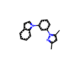 Cc1cc(C)n(-c2cccc(-n3ccc4c[c]ccc43)c2)n1